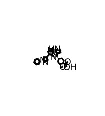 CO[C@]1(C(=O)O)CC[C@H](c2nc3c(-c4cnn(-c5ccccc5)c4)cnn3c3[nH]ccc32)CC1